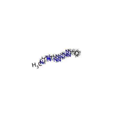 CN1CCC(Cn2cc(Cc3ncnc(N4CCN(c5ncc(Cc6ccccc6)cn5)CC4)n3)cn2)CC1